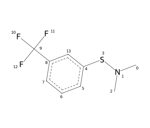 CN(C)Sc1cccc(C(F)(F)F)c1